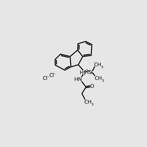 CCC(=O)[NH][Hf+2]([CH]1c2ccccc2-c2ccccc21)[SiH](C)C.[Cl-].[Cl-]